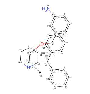 Nc1cccc(CO[C@@H]2C3CCN(CC3)[C@@H]2C(c2ccccc2)c2ccccc2)c1